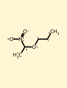 CCCOC(C)[N+](=O)[O-]